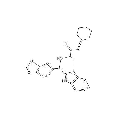 O=C(C=C1CCCCC1)C1Cc2c([nH]c3ccccc23)[C@@H](c2ccc3c(c2)OCO3)N1